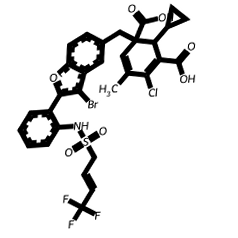 CC1=CC(Cc2ccc3oc(-c4ccccc4NS(=O)(=O)CC=CC(F)(F)F)c(Br)c3c2)(C(=O)O)C(C2CC2)C(C(=O)O)=C1Cl